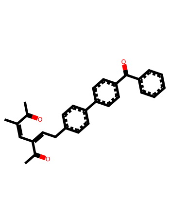 CC(=O)C(C)=CC(=CCc1ccc(-c2ccc(C(=O)c3ccccc3)cc2)cc1)C(C)=O